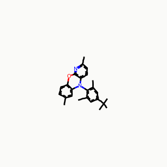 Cc1ccc2c(c1)N(c1c(C)cc(C(C)(C)C)cc1C)c1ccc(C)nc1O2